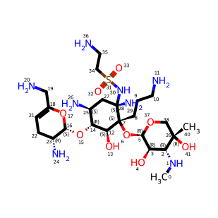 CN[C@@H]1[C@@H](O)[C@@H](O[C@]2(CCCN)[C@@H](O)[C@H](O[C@H]3OC(CN)=CC[C@H]3N)[C@@H](N)C[C@]2(N)NS(=O)(=O)CCN)OC[C@]1(C)O